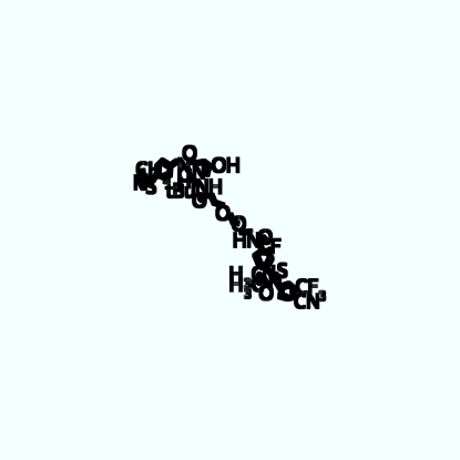 Cc1ncsc1-c1ccc(CNC(=O)C2C[C@@H](O)CN2C(=O)[C@@H](NC(=O)CCCOCCOCCNC(=O)c2ccc(N3C(=S)N(c4ccc(C#N)c(C(F)(F)F)c4)C(=O)C3(C)C)cc2F)C(C)(C)C)cc1